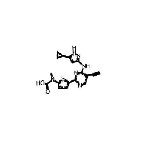 C#Cc1cnc(-c2ccc(N(C)C(=O)O)s2)nc1Nc1cc(C2CC2)[nH]n1